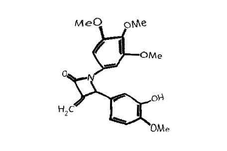 C=C1C(=O)N(c2cc(OC)c(OC)c(OC)c2)C1c1ccc(OC)c(O)c1